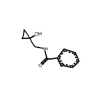 O=C(NCC1(O)CC1)c1cc[c]cc1